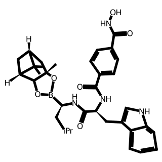 CC(C)C[C@H](NC(=O)[C@H](Cc1c[nH]c2ccccc12)NC(=O)c1ccc(C(=O)NO)cc1)B1OC2[C@@H]3C[C@H](C[C@]2(C)O1)C3(C)C